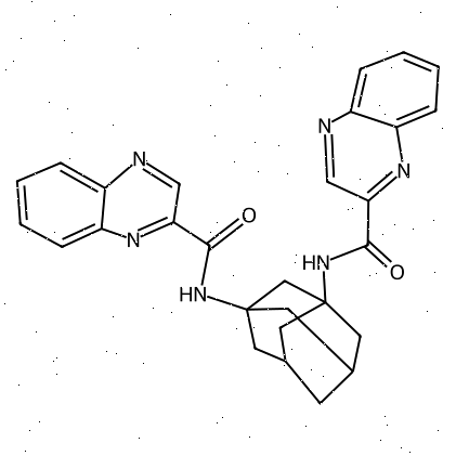 O=C(NC12CC3CC(C1)CC(NC(=O)c1cnc4ccccc4n1)(C3)C2)c1cnc2ccccc2n1